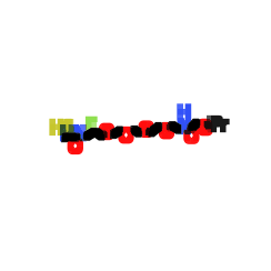 CC(C)OCC(=O)NCCOCCOCCOCCOCC(F)CNC(=O)C(C)S